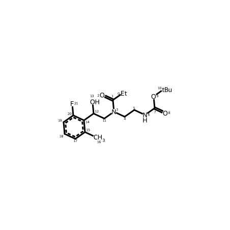 CCC(=O)N(CCNC(=O)OC(C)(C)C)CC(O)c1c(C)cccc1F